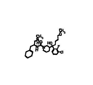 CNCC(CC1CCCCC1)NC(=O)N1CCCC([C@@](O)(CCCCOC)c2cccc(Cl)c2F)C1